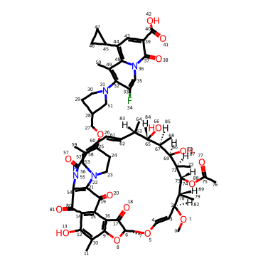 CO[C@H]1/C=C/O[C@@]2(C)Oc3c(C)c(O)c4c(c3C2=O)C(=O)C(N2CCC(OCC3CCN(c5c(F)cn6c(=O)c(C(=O)O)cc(C7CC7)c6c5C)C3)CC2)=C(NC(=O)/C(C)=C\C=C\[C@H](C)[C@H](O)[C@@H](C)[C@@H](O)[C@@H](C)[C@H](OC(C)=O)[C@@H]1C)C4=O